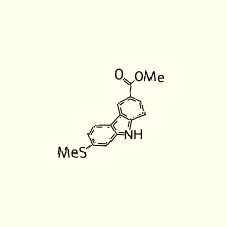 COC(=O)c1ccc2[nH]c3cc(SC)ccc3c2c1